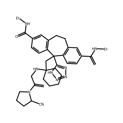 C=C(NCC)c1ccc2c(c1)CCc1cc(C(=O)NCC)ccc1C2(CC1(NCC(=C)N2CCCC2C#N)CCCCC1)c1nnn[nH]1